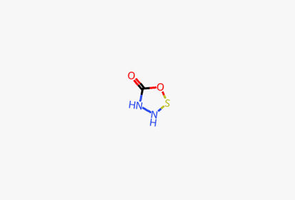 O=C1NNSO1